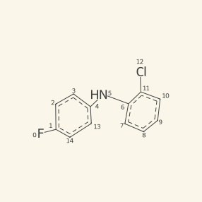 Fc1ccc(Nc2ccccc2Cl)cc1